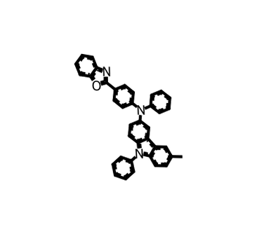 Cc1ccc2c(c1)c1cc(N(c3ccccc3)c3ccc(-c4nc5ccccc5o4)cc3)ccc1n2-c1ccccc1